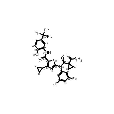 NC(=O)C1(C(=O)N(c2cc(F)cc(F)c2)c2nc(C3CC3)c(C(=O)Nc3cc(C(F)(F)F)ccc3Cl)s2)CC1